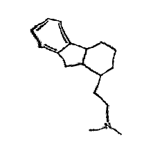 CN(C)CCC1CCCC2c3ccccc3CC12